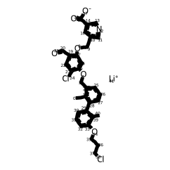 Cc1c(COc2cc(OCc3cncc(C(=O)[O-])c3)c(C=O)cc2Cl)cccc1-c1cccc(OCCCCl)c1C.[Li+]